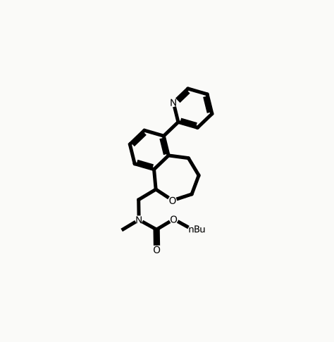 CCCCOC(=O)N(C)CC1OCCCc2c(-c3ccccn3)cccc21